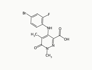 Cc1c(Nc2ccc(Br)cc2F)c(C(=O)O)nn(C)c1=O